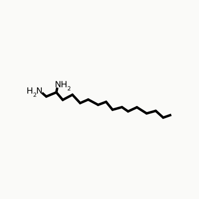 CCCCCCCCCCCCCCC(N)CN